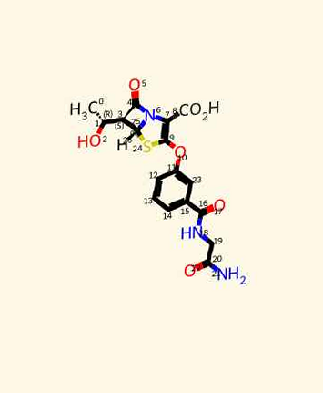 C[C@@H](O)[C@H]1C(=O)N2C(C(=O)O)=C(Oc3cccc(C(=O)NCC(N)=O)c3)S[C@H]12